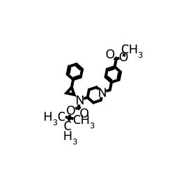 COC(=O)c1ccc(CN2CCC(N(C(=O)OC(C)(C)C)[C@@H]3CC3c3ccccc3)CC2)cc1